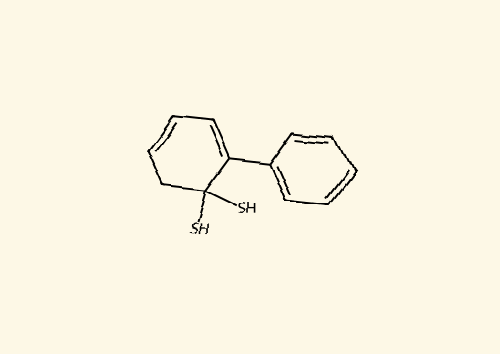 SC1(S)CC=CC=C1c1ccccc1